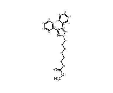 COC(=O)CCCCCCCn1cc(-c2ccccc2)c(-c2ccccc2)n1